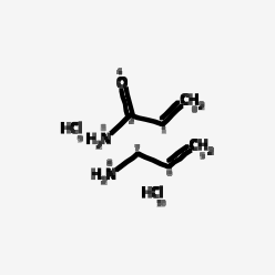 C=CC(N)=O.C=CCN.Cl.Cl